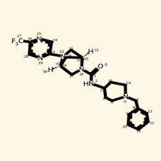 O=C(NC1CCN(Cc2ccccc2)CC1)N1C[C@@H]2C[C@H]1CN2c1cnc(C(F)(F)F)cn1